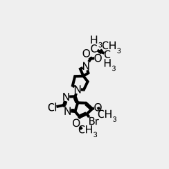 COc1cc2c(N3CCC4(CC3)CN(C(=O)OC(C)(C)C)C4)nc(Cl)nc2c(OC)c1Br